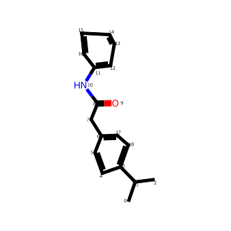 CC(C)c1ccc(CC(=O)Nc2ccccc2)cc1